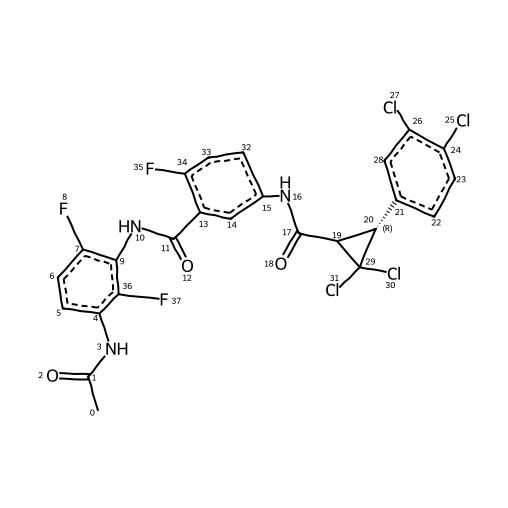 CC(=O)Nc1ccc(F)c(NC(=O)c2cc(NC(=O)C3[C@H](c4ccc(Cl)c(Cl)c4)C3(Cl)Cl)ccc2F)c1F